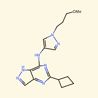 COCCCn1cc(Nc2nc(C3CCC3)nc3cn[nH]c23)cn1